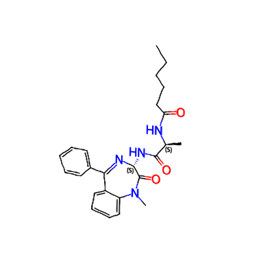 CCCCCC(=O)N[C@@H](C)C(=O)N[C@H]1N=C(c2ccccc2)c2ccccc2N(C)C1=O